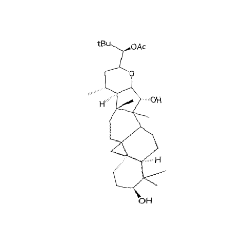 CC(=O)O[C@@H](C1C[C@@H](C)[C@H]2C(O1)[C@H](O)C1(C)C3CC[C@H]4C(C)(C)[C@@H](O)CC[C@@]45CC35CC[C@]21C)C(C)(C)C